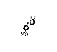 COC(=O)c1ccc(CN2CCCC(F)(F)C2)c(F)c1